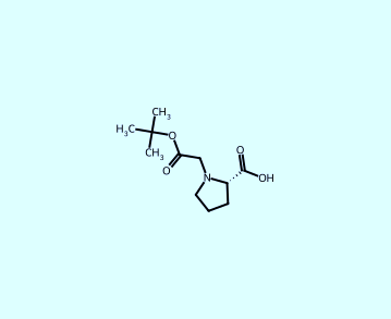 CC(C)(C)OC(=O)CN1CCC[C@H]1C(=O)O